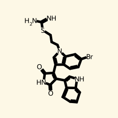 N=C(N)SCCCn1cc(C2=C(c3c[nH]c4ccccc34)C(=O)NC2=O)c2ccc(Br)cc21